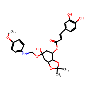 CCCCCCCCOc1ccc(NCOC2(O)CC(OC(=O)/C=C/c3ccc(O)c(O)c3)C3OC(C)(C)OC3C2)cc1